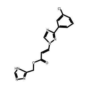 O=C(C=Cn1cnc(-c2cccc(Cl)c2)n1)OCc1nnc[nH]1